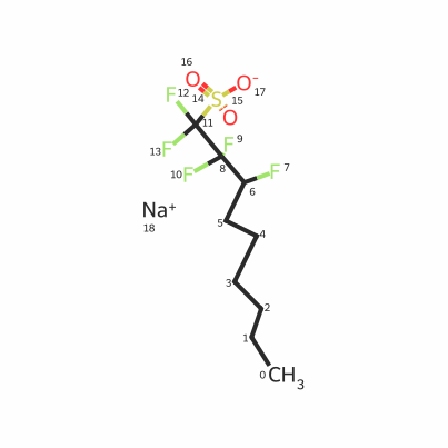 CCCCCCC(F)C(F)(F)C(F)(F)S(=O)(=O)[O-].[Na+]